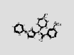 COc1cccc(C(=O)N(c2ccn(-c3ccccc3)n2)C2CCN(C)CC2)c1